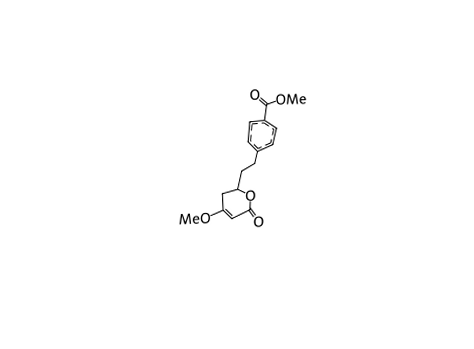 COC(=O)c1ccc(CCC2CC(OC)=CC(=O)O2)cc1